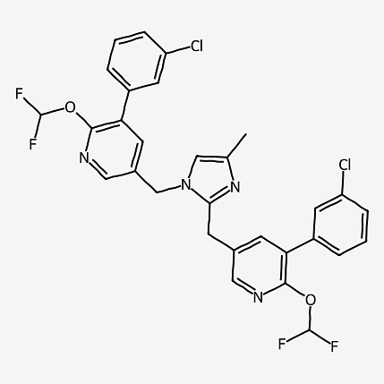 Cc1cn(Cc2cnc(OC(F)F)c(-c3cccc(Cl)c3)c2)c(Cc2cnc(OC(F)F)c(-c3cccc(Cl)c3)c2)n1